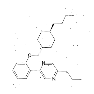 CCCC[C@H]1CC[C@H](COc2ccccc2-c2cnc(CCC)cn2)CC1